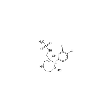 CS(=O)(=O)NC[C@]1(O)CNCCO[C@H]1c1ccc(Cl)c(F)c1.Cl